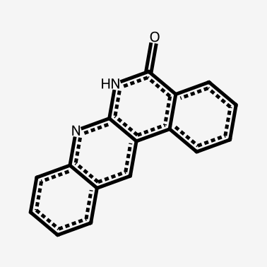 O=c1[nH]c2nc3ccccc3cc2c2ccccc12